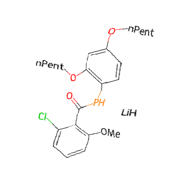 CCCCCOc1ccc(PC(=O)c2c(Cl)cccc2OC)c(OCCCCC)c1.[LiH]